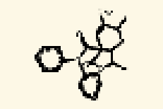 CC(=O)OC1=CC2(C(=O)N(c3ccccc3)c3ccccc3)C(=O)OC(C)C2CC1C